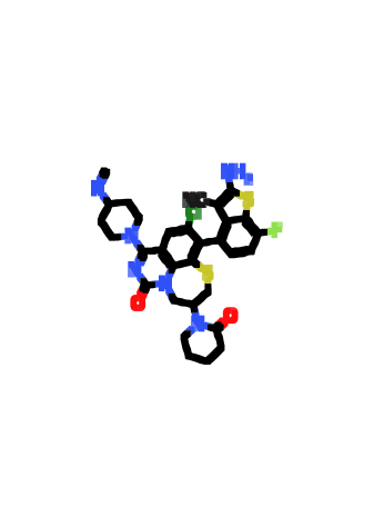 C=NC1CCN(c2nc(=O)n3c4c(c(-c5ccc(F)c6sc(N)c(C#N)c56)c(Cl)cc24)SCC(N2CCCCC2=O)C3)CC1